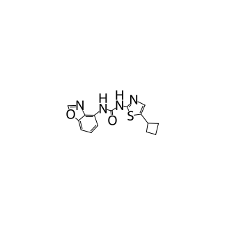 O=C(Nc1ncc(C2CCC2)s1)Nc1cccc2ocnc12